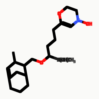 CC1C=C2CCCC(C2)C1COC(CCCC1=CN(O)CCO1)N(C)O